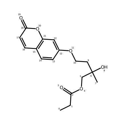 CCC(=O)OCC(C)(O)CCOc1ccc2ccc(=O)oc2c1